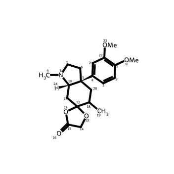 COc1ccc([C@]23CCN(C)[C@H]2CC2(OCC(=O)O2)C(C)C3)cc1OC